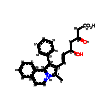 Cc1c(C=CC(O)CC(=O)CC(=O)O)c(-c2ccccc2)c2c3ccccc3ccn12